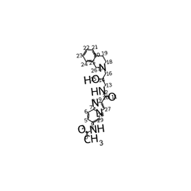 CC(=O)Nc1ccc2nc(C(=O)NCC(O)CN3CCc4ccccc4C3)cn2c1